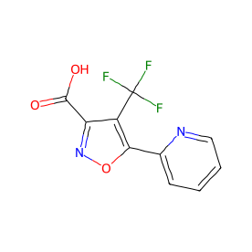 O=C(O)c1noc(-c2ccccn2)c1C(F)(F)F